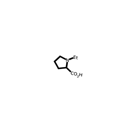 [CH2]CN1CCCC1C(=O)O